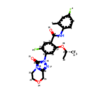 Cc1cc(F)ccc1NC(=O)c1cc(F)c(-n2nc3n(c2=O)CCOC3)cc1O[C@@H](C)C(F)(F)F